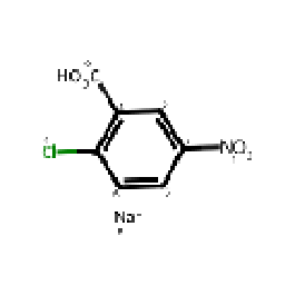 O=C(O)c1cc([N+](=O)[O-])ccc1Cl.[Na+]